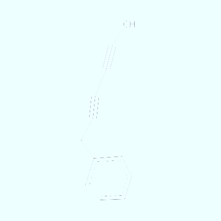 CC#CC#CCc1ccccc1